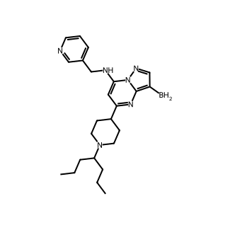 Bc1cnn2c(NCc3cccnc3)cc(C3CCN(C(CCC)CCC)CC3)nc12